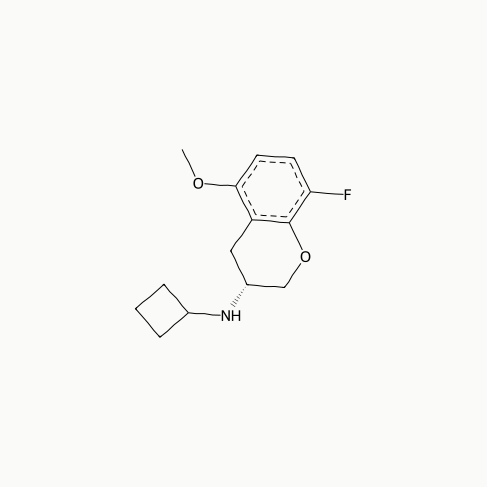 COc1ccc(F)c2c1C[C@@H](NC1CCC1)CO2